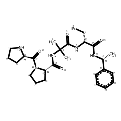 CC(C)C[C@@H](NC(=O)C(C)(C)NC(=O)[C@@H]1CCCN1C(=O)[C@H]1CCCN1)C(=O)N[C@H](C)c1ccccc1